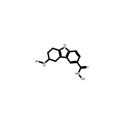 CC(C)NC1CCc2[nH]c3ccc(C(=O)NO)cc3c2C1